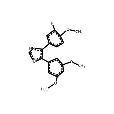 COc1cc(OC)cc(-c2nc[nH]c2-c2ccc(OC)c(F)c2)c1